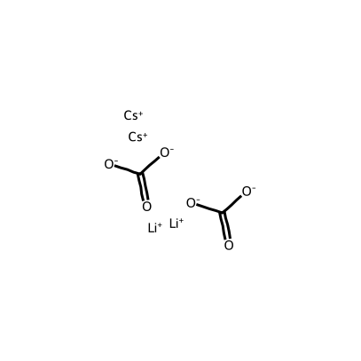 O=C([O-])[O-].O=C([O-])[O-].[Cs+].[Cs+].[Li+].[Li+]